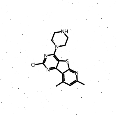 Cc1cc(C)c2c(n1)sc1c(N3CCNCC3)nc(Cl)nc12